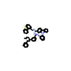 C=C/C=C\C(=C/Cc1ccccc1)c1cccc(/C(N=C)=N/C(=N\Cc2cccc3sc4ccccc4c23)c2ccc3c4ccccc4n(-c4ccccc4)c3c2)c1